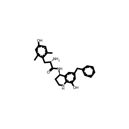 Cc1cc(O)cc(C)c1C[C@H](N)C(=O)N[C@@H]1CCNc2c(O)cc(Cc3ccccc3)cc21